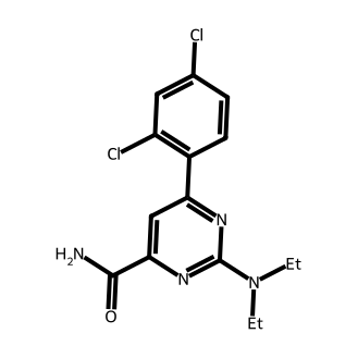 CCN(CC)c1nc(C(N)=O)cc(-c2ccc(Cl)cc2Cl)n1